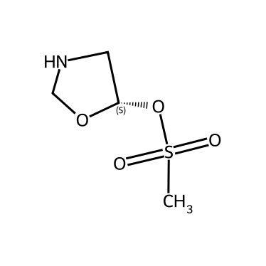 CS(=O)(=O)O[C@H]1CNCO1